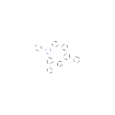 c1ccc(-c2cc(-c3ccccc3)cc(-c3cccc(-c4cccc(-c5nc(-c6ccccc6)nc(-c6ccc7c(c6)Cc6ccccc6-7)n5)c4)c3)c2)cc1